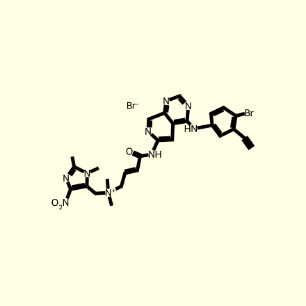 C#Cc1cc(Nc2ncnc3cnc(NC(=O)/C=C/C[N+](C)(C)Cc4c([N+](=O)[O-])nc(C)n4C)cc23)ccc1Br.[Br-]